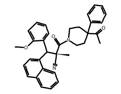 COc1ccccc1C(c1cccc2ccccc12)[C@@](C)(C#N)C(=O)N1CCC(C(C)=O)(c2ccccc2)CC1